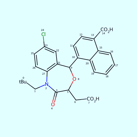 CC(C)(C)CN1C(=O)C(CC(=O)O)OC(c2ccc(C(=O)O)c3ccccc23)c2cc(Cl)ccc21